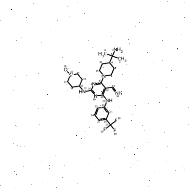 CC(C)(N)C1CCN(c2nc(NC3CC[S+]([O-])CC3)nc(Nc3cccc(C(F)(F)F)c3)c2C=N)CC1